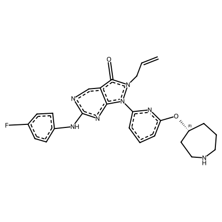 C=CCn1c(=O)c2cnc(Nc3ccc(F)cc3)nc2n1-c1cccc(O[C@@H]2CCCNCC2)n1